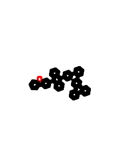 c1ccc(-c2ccc3c4ccccc4c4ccccc4c3c2)c(-c2ccc(-c3c4ccccc4c(-c4ccc5c(c4)oc4ccccc45)c4ccccc34)cc2)c1